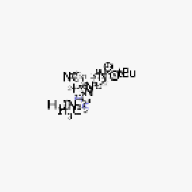 C=N/C=C(\C=C/C)c1nn(C2CCN(C(=O)OC(C)(C)C)CC2)c(CC#N)c1I